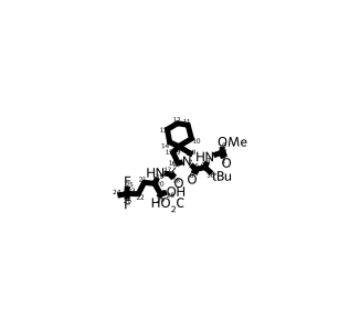 COC(=O)NC(C(=O)N1CC2(CCCCC2)C[C@H]1C(=O)NC(CCC(C)(F)F)C(O)C(=O)O)C(C)(C)C